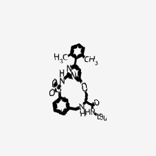 Cc1cccc(C)c1-c1cc2nc(n1)NS(=O)(=O)c1cccc(c1)CNC(C(=O)NC(C)(C)C)CO2